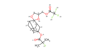 CC(C)(F)C(=O)OC12CC3CC(C1)C1(OCC(COC(=O)C(F)(F)F)O1)C(C3)C2